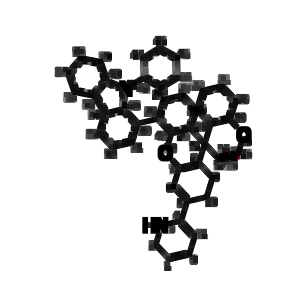 C1=CCNC(C2=CC3=C(CC2)C2(c4ccccc4Oc4ccccc42)c2cccc(-c4cccc5c6ccccc6n(-c6ccccc6)c45)c2O3)=C1